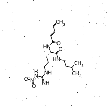 C=C/C=C/C(=O)N[C@@H](CCCNC(=N)N[N+](=O)[O-])C(=O)N[CH]CC(C)C